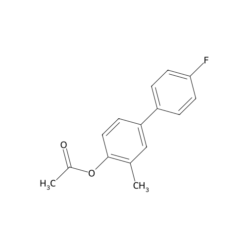 CC(=O)Oc1ccc(-c2ccc(F)cc2)cc1C